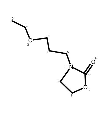 CCOCCCN1CCOC1=O